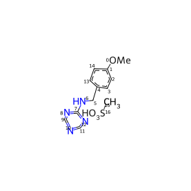 COc1ccc(CNc2ncncn2)cc1.CS(=O)(=O)O